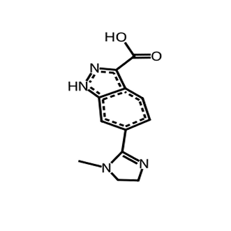 CN1CCN=C1c1ccc2c(C(=O)O)n[nH]c2c1